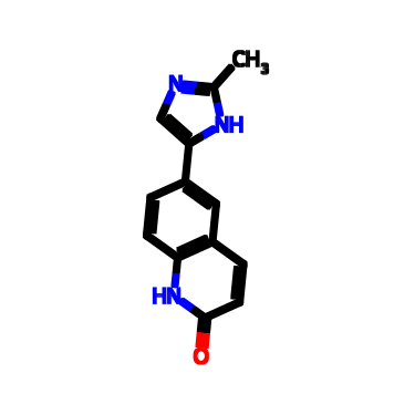 Cc1ncc(-c2ccc3[nH]c(=O)ccc3c2)[nH]1